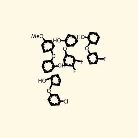 COc1ccc(Oc2ccccc2O)cc1.Oc1ccccc1Oc1ccc(F)c(F)c1.Oc1ccccc1Oc1cccc(Cl)c1.Oc1ccccc1Oc1cccc(F)c1